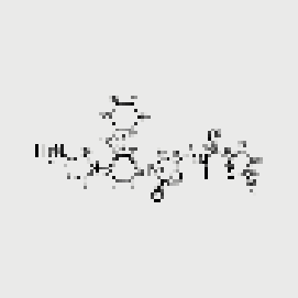 NC1CCN(c2ccc(N3CC(CNC(=O)c4ccc(Cl)s4)OC3=O)cc2CC2CCCCC2)C1